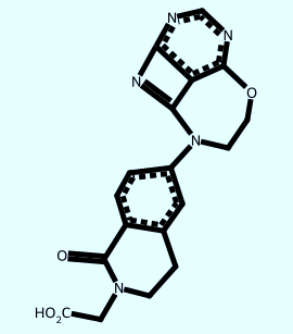 O=C(O)CN1CCc2cc(N3CCOc4ncnc5c4C3=N5)ccc2C1=O